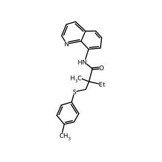 CCC(C)(CSc1ccc(C)cc1)C(=O)Nc1cccc2cccnc12